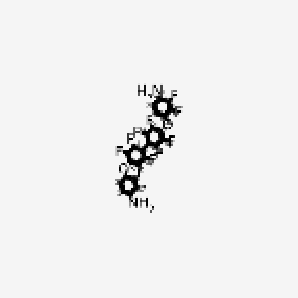 Nc1ccc(Oc2c(F)c(F)c(-c3c(F)c(F)c(Oc4ccc(N)c(F)c4F)c(F)c3F)c(F)c2F)cc1